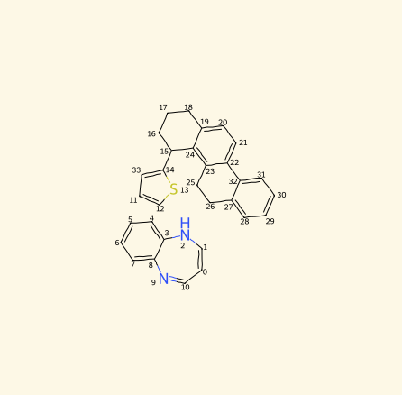 C1=CNc2ccccc2N=C1.c1csc(C2CCCc3ccc4c(c32)CCc2ccccc2-4)c1